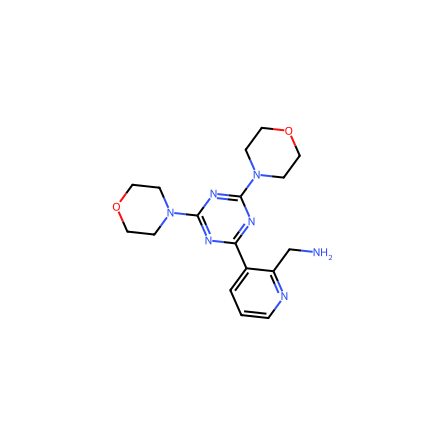 NCc1ncccc1-c1nc(N2CCOCC2)nc(N2CCOCC2)n1